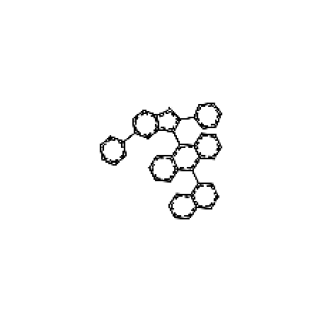 c1ccc(-c2ccc3sc(-c4ccccc4)c(-c4c5ccccc5c(-c5cccc6ccccc56)c5ccccc45)c3c2)cc1